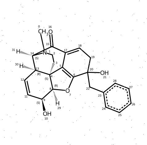 CN1CC[C@]23C4=C5O[C@H]2[C@@H](O)C=C[C@H]3[C@H]1C(=O)C4=CCC5(O)Cc1ccccc1